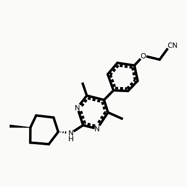 Cc1nc(N[C@H]2CC[C@H](C)CC2)nc(C)c1-c1ccc(OCC#N)cc1